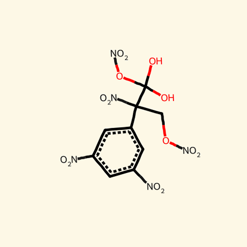 O=[N+]([O-])OCC(c1cc([N+](=O)[O-])cc([N+](=O)[O-])c1)([N+](=O)[O-])C(O)(O)O[N+](=O)[O-]